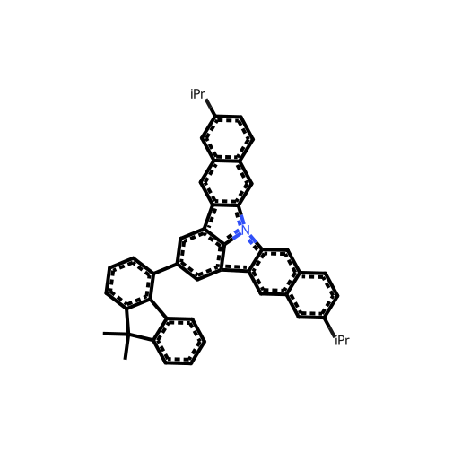 CC(C)c1ccc2cc3c(cc2c1)c1cc(-c2cccc4c2-c2ccccc2C4(C)C)cc2c4cc5cc(C(C)C)ccc5cc4n3c12